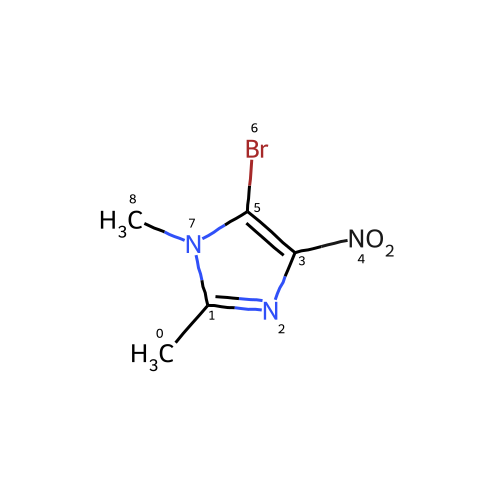 Cc1nc([N+](=O)[O-])c(Br)n1C